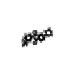 O=C1c2ccc(C3CCCCC3)cc2C(=O)N1c1cccc(C(F)(F)F)c1